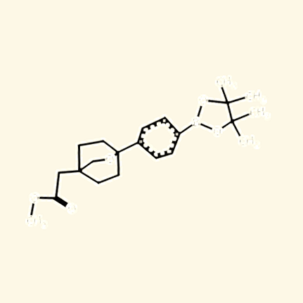 COC(=O)CC12CCC(c3ccc(B4OC(C)(C)C(C)(C)O4)cc3)(CC1)OC2